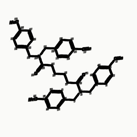 COc1ccc(CN(Cc2ccc(OC)cc2)C(=O)CCCCC(=O)N(Cc2ccc(OC)cc2)Cc2ccc(OC)cc2)cc1